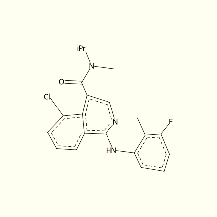 Cc1c(F)cccc1Nc1ncc(C(=O)N(C)C(C)C)c2c(Cl)cccc12